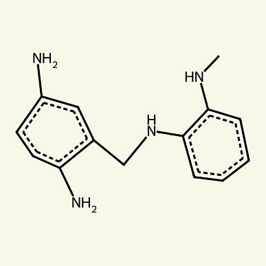 CNc1ccccc1NCc1cc(N)ccc1N